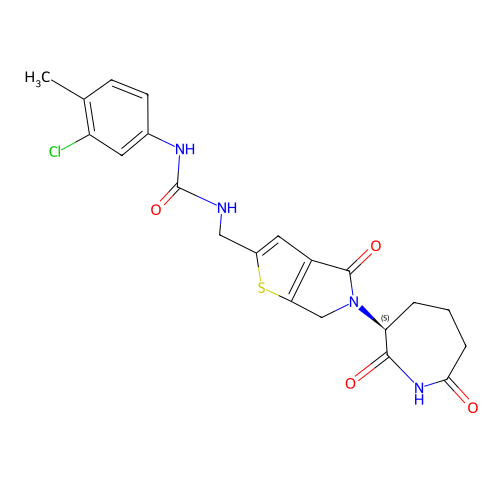 Cc1ccc(NC(=O)NCc2cc3c(s2)CN([C@H]2CCCC(=O)NC2=O)C3=O)cc1Cl